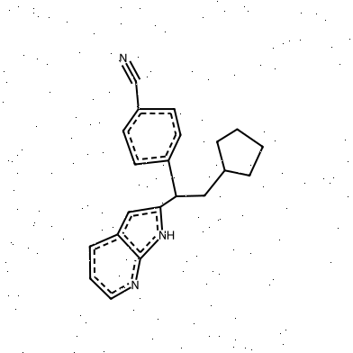 N#Cc1ccc(C(CC2CCCC2)c2cc3cccnc3[nH]2)cc1